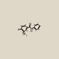 O=C(Nc1ccccc1)c1ccc(F)c(C(F)(F)F)c1